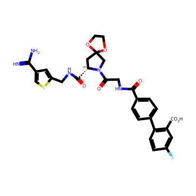 N=C(N)c1csc(CNC(=O)[C@@H]2CC3(CN2C(=O)CNC(=O)c2ccc(-c4ccc(F)cc4C(=O)O)cc2)OCCO3)c1